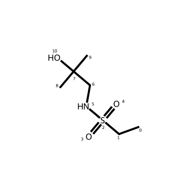 CCS(=O)(=O)NCC(C)(C)O